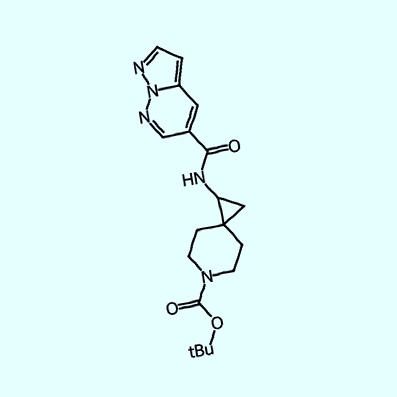 CC(C)(C)OC(=O)N1CCC2(CC1)CC2NC(=O)c1cnn2nccc2c1